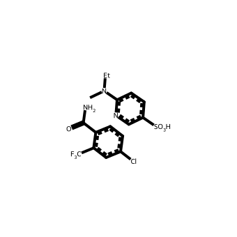 CCN(C)c1ccc(S(=O)(=O)O)cn1.NC(=O)c1ccc(Cl)cc1C(F)(F)F